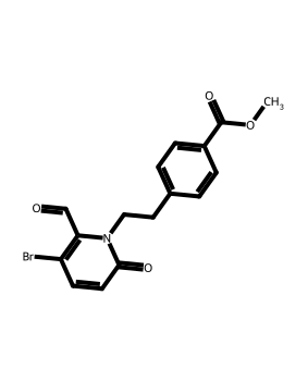 COC(=O)c1ccc(CCn2c(C=O)c(Br)ccc2=O)cc1